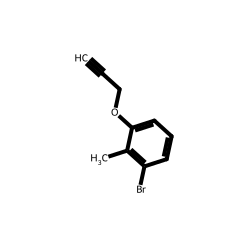 C#CCOc1cccc(Br)c1C